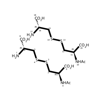 CC(=O)N[C@@H](CSSC[C@H](N)C(=O)O)C(=O)O.CC(=O)N[C@@H](CSSC[C@H](N)C(=O)O)C(=O)O